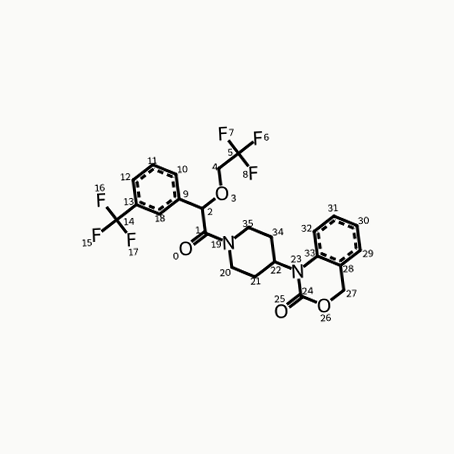 O=C(C(OCC(F)(F)F)c1cccc(C(F)(F)F)c1)N1CCC(N2C(=O)OCc3ccccc32)CC1